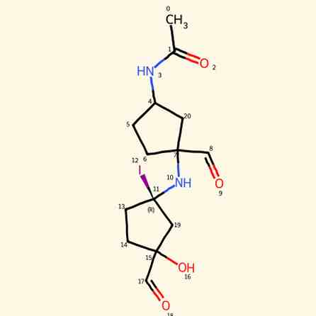 CC(=O)NC1CCC(C=O)(N[C@@]2(I)CCC(O)(C=O)C2)C1